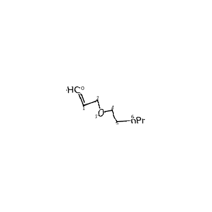 [CH]=CCOCCCCC